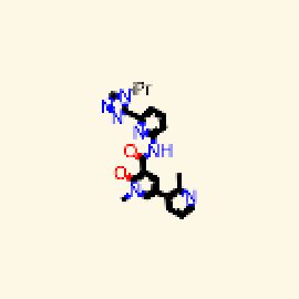 Cc1ncccc1-c1cc(C(=O)Nc2cccc(-c3nncn3C(C)C)n2)c(=O)n(C)c1